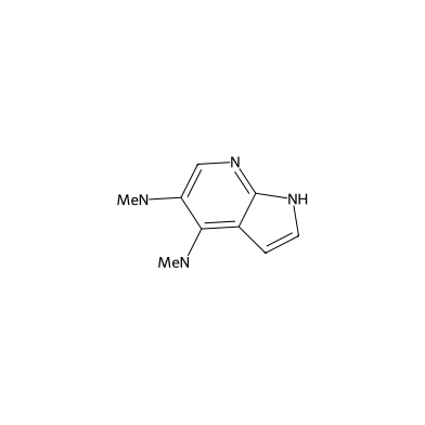 CNc1cnc2[nH]ccc2c1NC